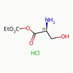 CCOC(=O)OC(=O)[C@@H](N)CO.Cl